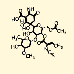 C/C=C(\N=C=S)C(=O)O[C@H]1[C@@H](O[C@@H]2C[C@@H](OC)[C@@H](O)[C@@H](C)O2)[C@@H](O)C(C2(O)CC(=O)C(=N)C(C(=O)O)=C2O)O[C@@H]1COC(C)=O